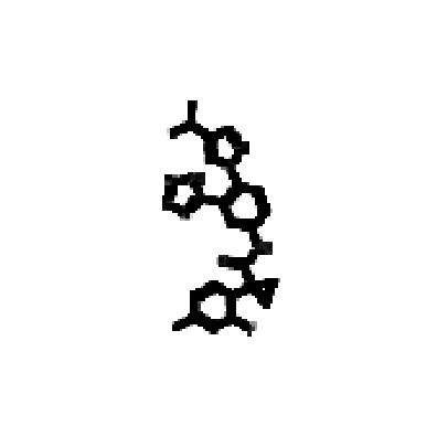 Cc1ccc(C2(C(=O)Nc3ccc(-n4cc(C(C)C)cn4)c(-c4nnn[nH]4)c3)CC2)c(F)c1